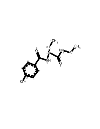 CSNC(=O)N(NC(=O)c1ccc(Cl)cc1)SC